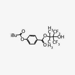 CCC(C)C(=O)Oc1ccc(C(=O)OC(C)(C)C(O)(C(F)(F)F)C(F)(F)F)cc1